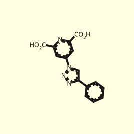 O=C(O)c1cc(-n2cc(-c3ccccc3)nn2)cc(C(=O)O)n1